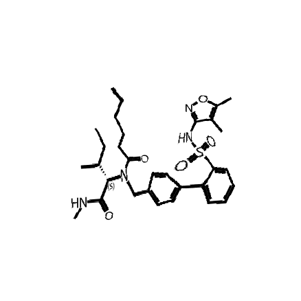 CCCCCC(=O)N(Cc1ccc(-c2ccccc2S(=O)(=O)Nc2noc(C)c2C)cc1)[C@H](C(=O)NC)C(C)CC